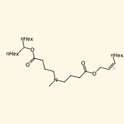 CCCCCC/C=C\COC(=O)CCCN(C)CCCC(=O)OC(CCCCCC)CCCCCC